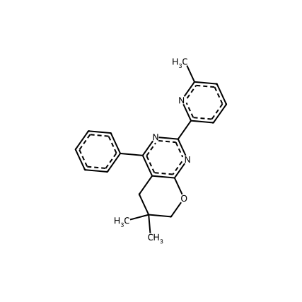 Cc1cccc(-c2nc3c(c(-c4ccccc4)n2)CC(C)(C)CO3)n1